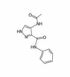 CC(=O)Nc1c[nH]nc1C(=O)Nc1ccccc1